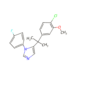 COc1cc(C(C)(C)c2cncn2-c2ccc(F)cc2)ccc1Cl